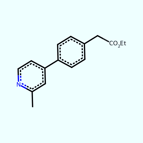 CCOC(=O)Cc1ccc(-c2ccnc(C)c2)cc1